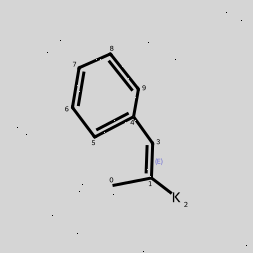 C/[C]([K])=C\c1ccccc1